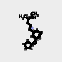 CNC(C)C/C=C/c1cncc(OC2CCCC2)c1